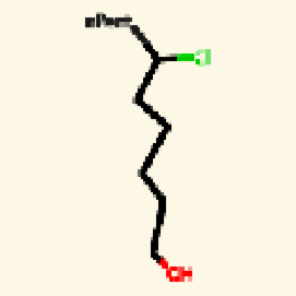 CCCCCC(Cl)CCCCCO